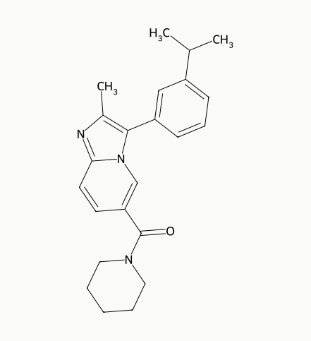 Cc1nc2ccc(C(=O)N3CCCCC3)cn2c1-c1cccc(C(C)C)c1